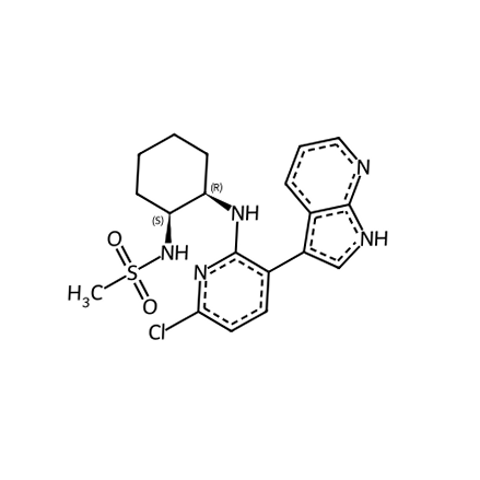 CS(=O)(=O)N[C@H]1CCCC[C@H]1Nc1nc(Cl)ccc1-c1c[nH]c2ncccc12